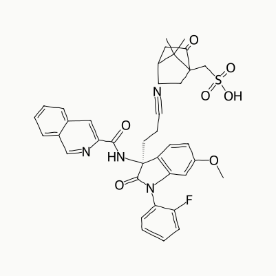 CC1(C)C2CCC1(CS(=O)(=O)O)C(=O)C2.COc1ccc2c(c1)N(c1ccccc1F)C(=O)[C@@]2(CCC#N)NC(=O)c1cc2ccccc2cn1